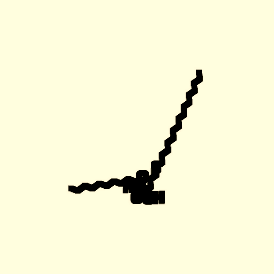 CCCCCCCCCCCCCCCCSCC(CP(=O)(O)O)OCCCCCCCCCC